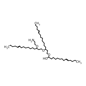 CCCC/C=C/CCCCCCCC(O)OCCC(CCCCCCC/C=C/CCCC)OCCC(CCCCCCC/C=C/CCCC)OCCN